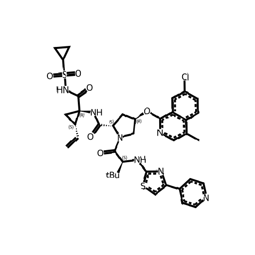 C=C[C@@H]1C[C@]1(NC(=O)[C@@H]1C[C@@H](Oc2ncc(C)c3ccc(Cl)cc23)CN1C(=O)[C@@H](Nc1nc(-c2ccncc2)cs1)C(C)(C)C)C(=O)NS(=O)(=O)C1CC1